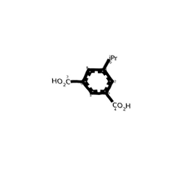 CC(C)c1cc(C(=O)O)cc(C(=O)O)c1